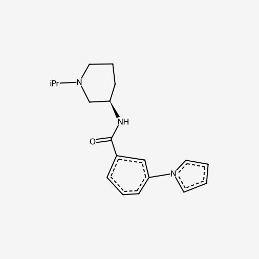 CC(C)N1CCC[C@@H](NC(=O)c2cccc(-n3cccc3)c2)C1